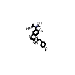 COc1ccc(Cc2nnc3cnc4cc(/C(C(C)=N)=C(\C)O)c(OC)cc4n23)cc1